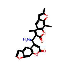 Cc1cc2cc3c(C)c(C(N)c4cc(=O)oc5cc6occc6cc45)c(=O)oc3c(C)c2o1